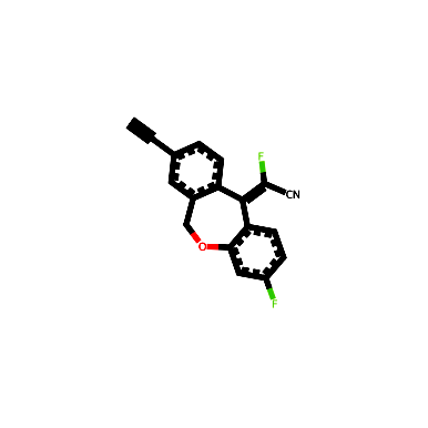 C#Cc1ccc2c(c1)COc1cc(F)ccc1C2=C(F)C#N